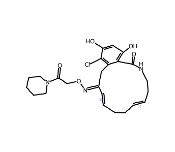 O=C1NCC/C=C/CC/C=C/C(=NOCC(=O)N2CCCCC2)Cc2c(Cl)c(O)cc(O)c21